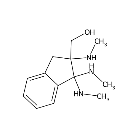 CNC1(CO)Cc2ccccc2C1(NC)NC